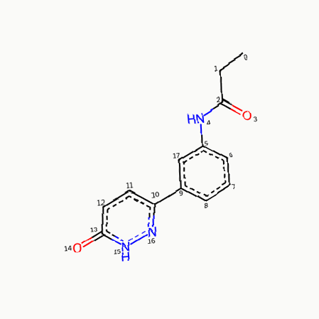 CCC(=O)Nc1cccc(-c2ccc(=O)[nH]n2)c1